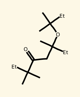 CCC(C)(C)OC(C)(CC)CC(=O)C(C)(C)CC